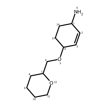 NC1C=CC(OCC2CCCCO2)CC1